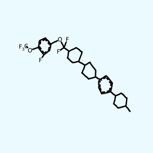 CC1CCC(c2ccc(C3CCC(C4CCC(C(F)(F)Oc5ccc(OC(F)(F)F)c(F)c5)CC4)CC3)cc2)CC1